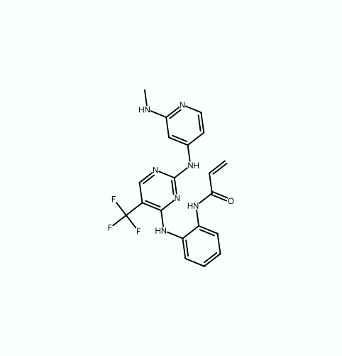 C=CC(=O)Nc1ccccc1Nc1nc(Nc2ccnc(NC)c2)ncc1C(F)(F)F